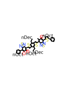 CCCCCCCCCCCCc1c2cc(-c3c(OCCCCCCCC)c(OCCCCCCCC)c(-c4ccccc4)c4nsnc34)sc2c(CCCCCCCCCCCC)c2cc(-c3c(C)c(OCCCCCCCC)c(-c4ccc(-c5ccccc5)s4)c4nsnc34)sc12